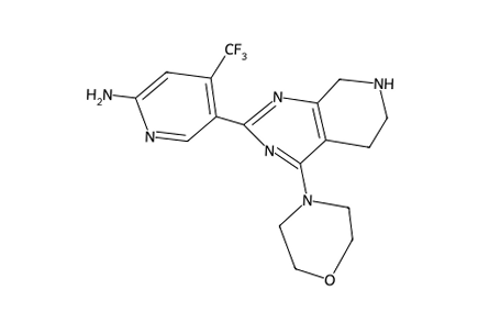 Nc1cc(C(F)(F)F)c(-c2nc3c(c(N4CCOCC4)n2)CCNC3)cn1